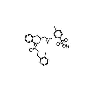 Cc1ccc(S(=O)(=O)O)cc1.Cc1ccccc1CCC(=O)N1CC(CN(C)C)Cc2ccccc21